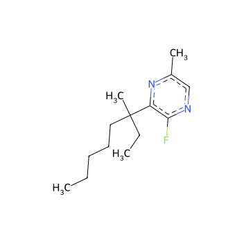 CCCCCC(C)(CC)c1nc(C)cnc1F